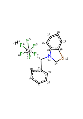 [F][Sb-]([F])([F])([F])([F])[F].[H+].c1ccc(CN2CSc3ccccc32)cc1